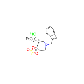 CCOC(=O)[C@@H]1CN(CC2=Cc3ccccc32)CC[C@H]1OS(C)(=O)=O.Cl